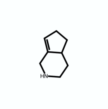 C1=C2CNCCC2CC1